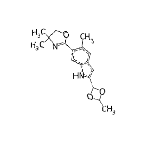 Cc1cc2cc(C3OC(C)O3)[nH]c2cc1C1=NC(C)(C)CO1